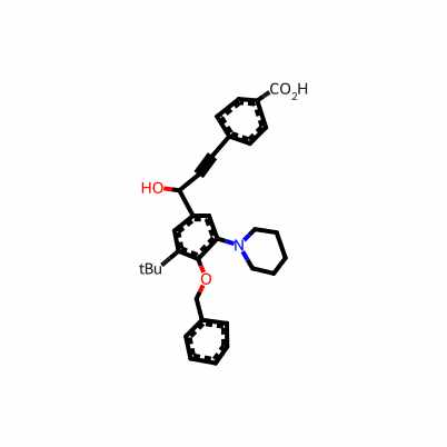 CC(C)(C)c1cc(C(O)C#Cc2ccc(C(=O)O)cc2)cc(N2CCCCC2)c1OCc1ccccc1